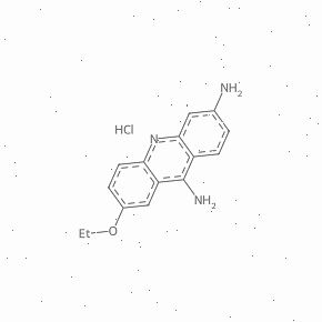 CCOc1ccc2nc3cc(N)ccc3c(N)c2c1.Cl